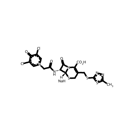 Cc1nnc(SCC2=C(C(=O)O)N3C(=O)[C@@H](NC(=O)Cn4cc(Cl)c(=O)c(Cl)c4)[C@H]3SC2)s1.[NaH]